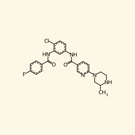 CC1CN(c2ccc(C(=O)Nc3ccc(Cl)c(NC(=O)c4ccc(F)cc4)c3)cn2)CCN1